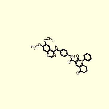 COc1cc2ncnc(Nc3ccc(NC(=O)c4cc5c(n(-c6ccccc6)c4=O)CCCC5=O)cc3)c2cc1OC